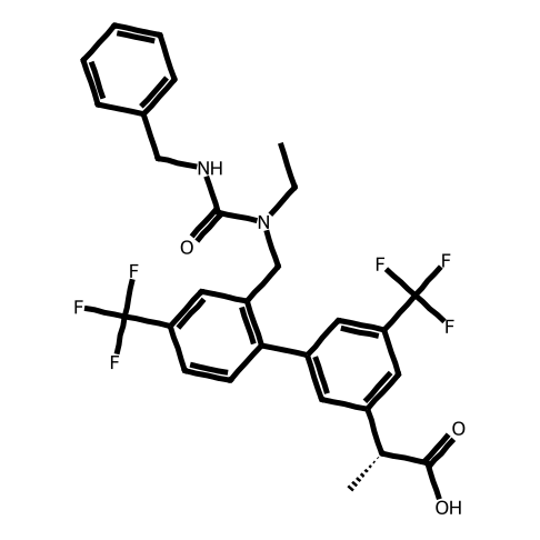 CCN(Cc1cc(C(F)(F)F)ccc1-c1cc([C@@H](C)C(=O)O)cc(C(F)(F)F)c1)C(=O)NCc1ccccc1